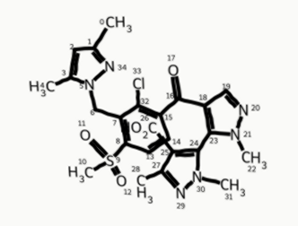 Cc1cc(C)n(Cc2c(S(C)(=O)=O)ccc(C(=O)c3cnn(C)c3-c3c(C(=O)O)c(C)nn3C)c2Cl)n1